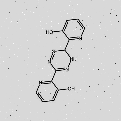 Oc1cccnc1C1=NNC(c2ncccc2O)N=N1